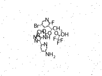 CC(OC(=O)Nc1c(-c2ccc(N)cn2)nnn1C)c1cc(Br)cnc1F.O=C(O)C(F)(F)F